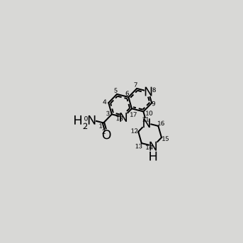 NC(=O)c1ccc2cncc(N3CCNCC3)c2n1